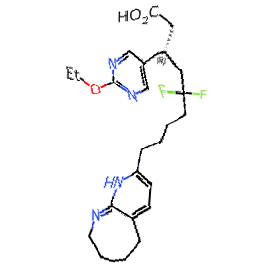 CCOc1ncc([C@H](CC(=O)O)CC(F)(F)CCCCC2=CC=C3CCCCN=C3N2)cn1